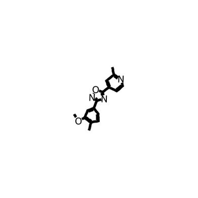 COc1cc(-c2noc(-c3ccnc(C)c3)n2)ccc1C